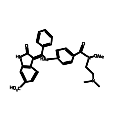 CON(CCN(C)C)C(=O)c1ccc([AsH]/C(=C2/C(=O)Nc3cc(C(=O)O)ccc32)c2ccccc2)cc1